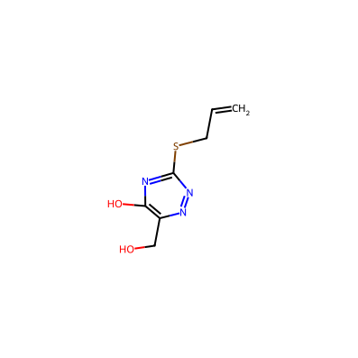 C=CCSc1nnc(CO)c(O)n1